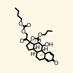 CCCCOC(=O)OCC(=O)[C@@]1(OC(=O)OCCC)CC[C@H]2[C@@H]3CCC4=CC(=O)C=C[C@]4(C)[C@H]3C(O)C[C@@]21C